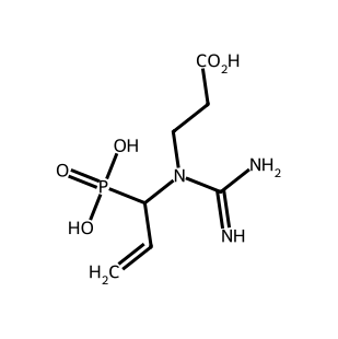 C=CC(N(CCC(=O)O)C(=N)N)P(=O)(O)O